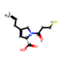 C=CCC1=C[C@@H](C(=O)O)N(C(=O)CCS)C1